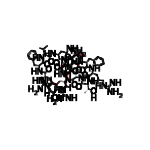 CN[C@H](Cc1ccc(O)cc1)C(=O)N[C@@H](Cc1ccccc1)C(=O)N[C@H](C(=O)N[C@@H](CC(N)=O)C(=O)N[C@@H](Cc1ccccc1)C(=O)N[C@@H](CCCNC(=N)N)C(=O)N[C@@H](CC(N)=O)C(=O)N[C@@H](Cc1ccccc1)C(=O)N[C@@H](CCCNC(=N)N)C(=O)N[C@H](C(=O)N[C@@H](Cc1ccccc1)C(=O)N[C@@H](CCCNC(=N)N)C(=O)I)[C@@H](C)O)C(C)C